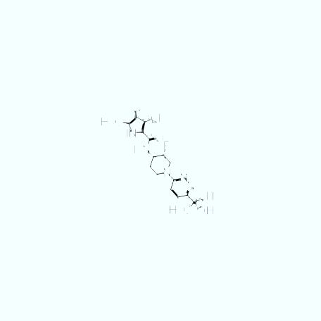 Cc1[nH]c(C(=O)N[C@@H]2CCN(c3ccc(C(C)(C)O)nn3)C[C@@H]2F)c(Cl)c1Cl